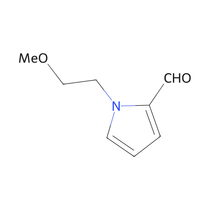 COCCn1cccc1C=O